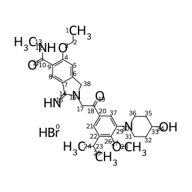 Br.CCOc1cc2c(cc1C(=O)NC)C(=N)N(CC(=O)c1cc(C(C)C)c(OC)c(N3CCC(O)CC3)c1)C2